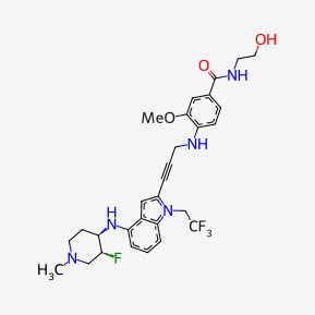 COc1cc(C(=O)NCCO)ccc1NCC#Cc1cc2c(N[C@@H]3CCN(C)C[C@@H]3F)cccc2n1CC(F)(F)F